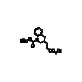 CCOC(=O)CCC1Cc2ccccc2N(C(=O)OC(C)(C)C)C1